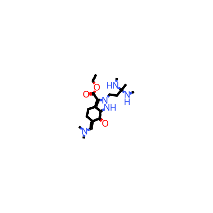 CCOC(=O)C1=C2CCC(=CN(C)C)C(=O)C2NN1CCC(C)(NC)NC